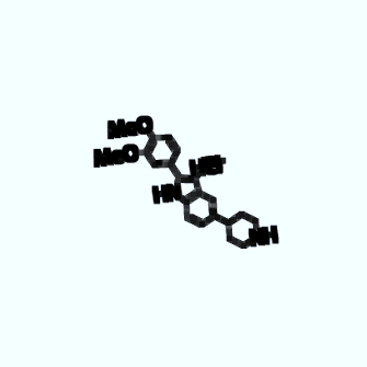 COc1ccc(-c2[nH]c3ccc(C4CCNCC4)cc3c2C(C)C)cc1OC.Cl